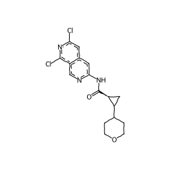 O=C(Nc1cc2cc(Cl)nc(Cl)c2cn1)[C@H]1CC1C1CCOCC1